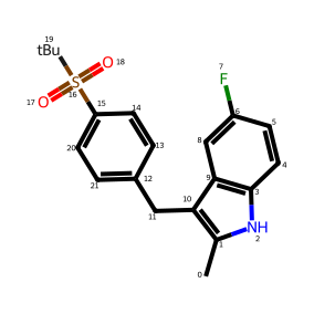 Cc1[nH]c2ccc(F)cc2c1Cc1ccc(S(=O)(=O)C(C)(C)C)cc1